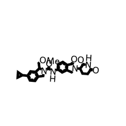 COCC1c2cc(C3CC3)ccc2CN1C(=O)Nc1ccc2c(c1)CN(C1CCC(=O)NC1=O)C2=O